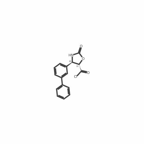 O=C1N[C@H](c2cccc(-c3ccccc3)c2)[C@@H](C(=O)Cl)O1